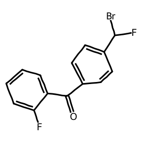 O=C(c1ccc(C(F)Br)cc1)c1ccccc1F